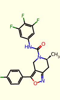 C[C@H]1Cc2noc(-c3ccc(F)cc3)c2CN1C(=O)Nc1cc(F)c(F)c(F)c1